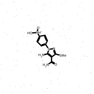 CSc1nn(-c2ccc([NH+]([O-])O)cc2)c(N)c1C(N)=O